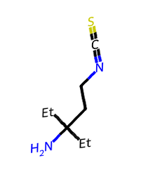 CCC(N)(CC)CCN=C=S